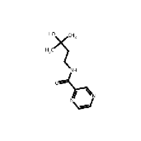 CC(C)(O)CCNC(=O)c1cnccn1